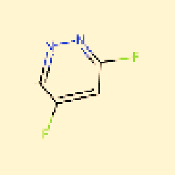 Fc1[c]nnc(F)c1